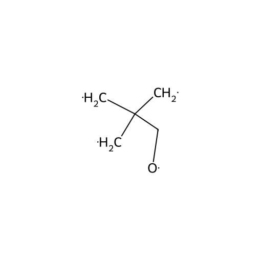 [CH2]C([CH2])([CH2])C[O]